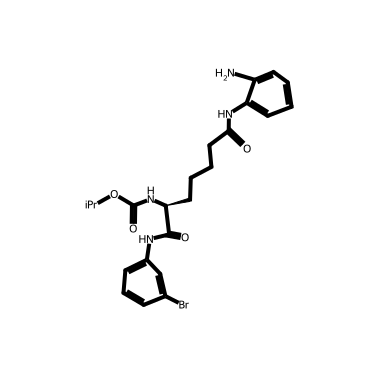 CC(C)OC(=O)N[C@@H](CCCCC(=O)Nc1ccccc1N)C(=O)Nc1cccc(Br)c1